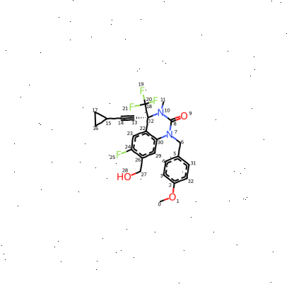 COc1ccc(CN2C(=O)N(C)[C@](C#CC3CC3)(C(F)(F)F)c3cc(F)c(CO)cc32)cc1